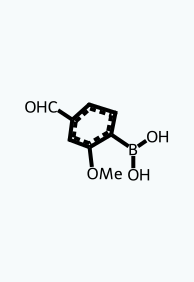 COc1cc(C=O)ccc1B(O)O